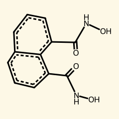 O=C(NO)c1cccc2cccc(C(=O)NO)c12